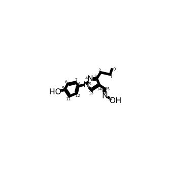 CCCc1nn(-c2ccc(O)cc2)cc1C=NO